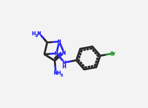 NC1=NN2C(N)C1N2Nc1ccc(Br)cc1